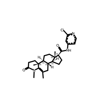 CC1=C2N(C)C(=O)CC[C@]2(C)[C@H]2CC[C@]3(C)[C@@H](C(=O)Nc4ccnc(Cl)c4)CC[C@H]3[C@@H]2C1